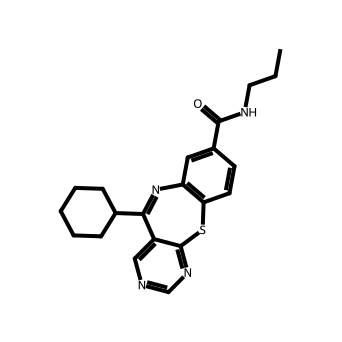 CCCNC(=O)c1ccc2c(c1)N=C(C1CCCCC1)c1cncnc1S2